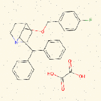 Fc1ccc(COC2C3CCN(CC3)C2C(c2ccccc2)c2ccccc2)cc1.O=C(O)C(=O)O